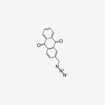 [N-]=[N+]=NCc1ccc2c(c1)C(=O)c1ccccc1C2=O